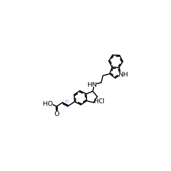 Cl.O=C(O)/C=C/c1ccc2c(c1)CCC2NCCc1c[nH]c2ccccc12